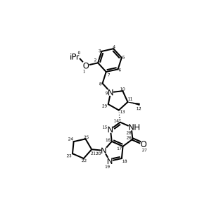 CC(C)Oc1ccccc1CN1C[C@@H](C)[C@H](c2nc3c(cnn3C3CCCC3)c(=O)[nH]2)C1